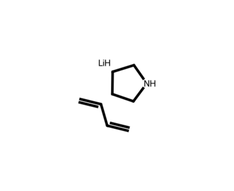 C1CCNC1.C=CC=C.[LiH]